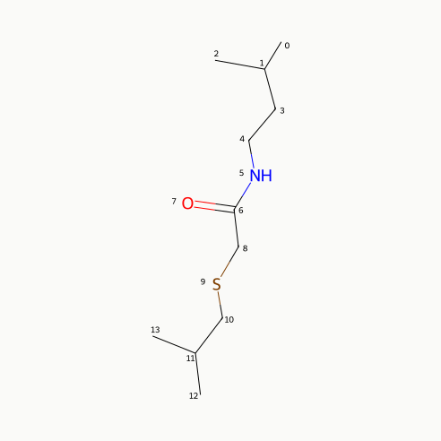 CC(C)CCNC(=O)CSCC(C)C